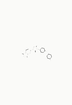 CC1=CC(C2CC(=O)N(c3ccc(Oc4ccc(C)cc4)cc3)C2=O)CC2C(=O)N(C)C(=O)C12